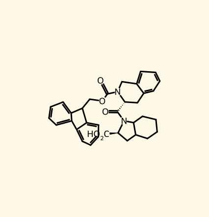 O=C(O)[C@@H]1CC2CCCCC2N1C(=O)[C@H]1Cc2ccccc2CN1C(=O)OCC1c2ccccc2-c2ccccc21